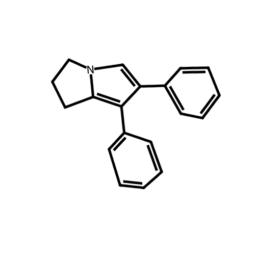 c1ccc(-c2cn3c(c2-c2ccccc2)CCC3)cc1